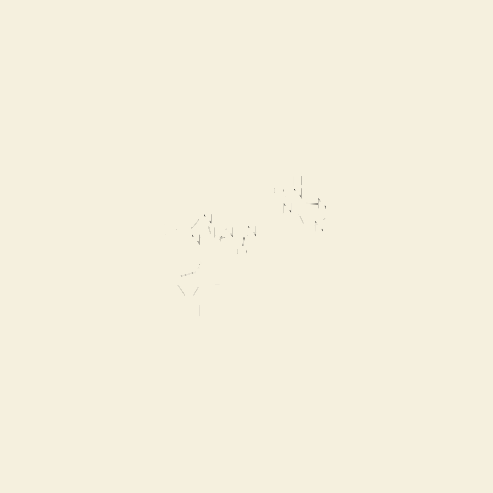 O=C(N[C@@H]1CC[C@@H](c2cccc(F)c2F)Cn2c(C3CC3)cnc21)N1CCC(n2c(=O)[nH]c3ncncc32)CC1